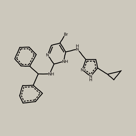 BrC1=C(Nc2cc(C3CC3)[nH]n2)NC(NC(c2ccccc2)c2ccccc2)N=C1